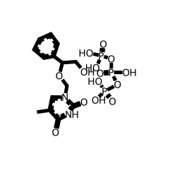 Cc1cn(COC(CO)c2ccccc2)c(=O)[nH]c1=O.O=P(O)(O)OP(=O)(O)OP(=O)(O)O